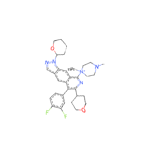 CCC[N+]1(c2nc(C3CCOCC3)c(-c3ccc(F)c(F)c3)c3cc4cnn(C5CCCCO5)c4cc23)CCN(C)CC1